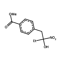 CCC(O)(Cc1ccc(C(=O)OC)cc1)[N+](=O)[O-]